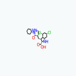 O=C(O)c1[nH]c2cc(Cl)cc(Cl)c2c1C=C1C=CNN(c2ccccc2)C1=O